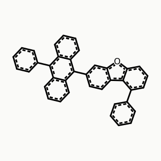 c1ccc(-c2c3ccccc3c(-c3ccc4c(c3)oc3cccc(-c5ccccc5)c34)c3ccccc23)cc1